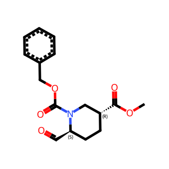 COC(=O)[C@@H]1CC[C@@H](C=O)N(C(=O)OCc2ccccc2)C1